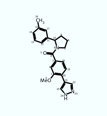 COc1cc(C(=O)N2CCCC2c2cccc(C)c2)ccc1-c1cn[nH]c1